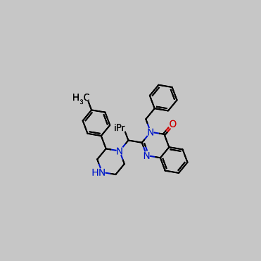 Cc1ccc(C2CNCCN2C(c2nc3ccccc3c(=O)n2Cc2ccccc2)C(C)C)cc1